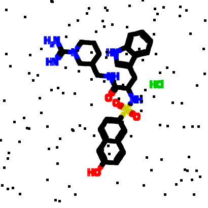 Cl.N=C(N)N1CCCC(CNC(=O)C(Cc2c[nH]c3ccccc23)NS(=O)(=O)c2ccc3cc(O)ccc3c2)C1